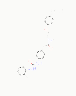 Cc1ccccc1NC(=O)Nc1ccc(CC(=O)N(C)CCOc2ccc(C(=O)O)cc2)cc1